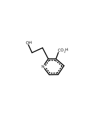 O=C(O)c1cccnc1CCO